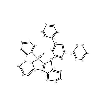 O=P1(c2ccccc2)c2ccccc2-c2c1n(-c1cc(-c3ccccc3)cc(-c3ccccc3)c1)c1ccccc21